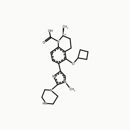 C[C@H]1CCc2c(ccc(-c3cn(C)c(N4CCNCC4)n3)c2OC2CCC2)N1C(=O)O